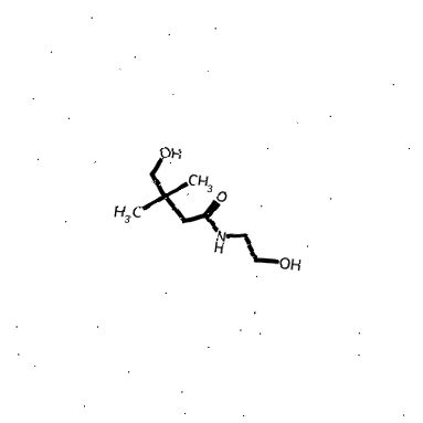 CC(C)(CO)CC(=O)NCCO